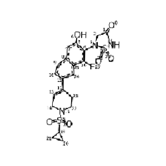 O=C1CN(c2c(O)cc3ccc(C4=CCN(S(=O)(=O)C5CC5)CC4)cc3c2F)S(=O)(=O)N1